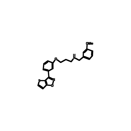 COc1cccc(CNCCCOc2cccc(-c3noc4ccsc34)c2)c1